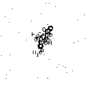 COc1ccc(CO[C@H](C=O)C(C)(C)CC(CCS(=O)(=O)O)N2C(=O)c3ccccc3C2=O)cc1